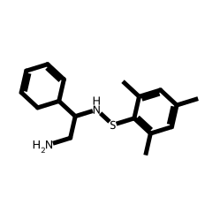 Cc1cc(C)c(SNC(CN)C2C=CC=CC2)c(C)c1